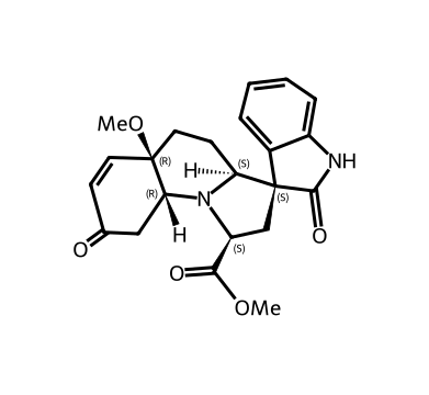 COC(=O)[C@@H]1C[C@@]2(C(=O)Nc3ccccc32)[C@@H]2CC[C@@]3(OC)C=CC(=O)C[C@H]3N21